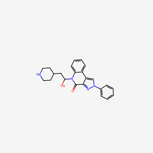 O=c1c2nn(-c3ccccc3)cc2c2ccccc2n1C(O)CC1CCNCC1